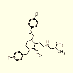 CC(C)CNCCC1C(=C=O)N(Cc2ccc(F)cc2)CCN1COc1ccc(Cl)cc1